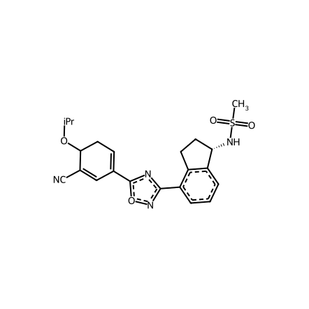 CC(C)OC1CC=C(c2nc(-c3cccc4c3CC[C@@H]4NS(C)(=O)=O)no2)C=C1C#N